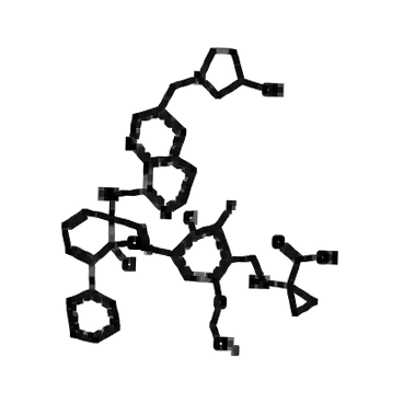 CCOc1cc(C=CC2(Nc3nccc4cc(CN5CCC(O)C5)cnc34)C=CC=C(c3ccccc3)C2(C)Cl)c(Cl)c(F)c1CNC1(C(=O)O)CC1